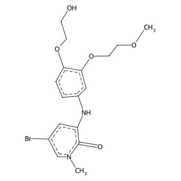 COCCOc1cc(Nc2cc(Br)cn(C)c2=O)ccc1OCCO